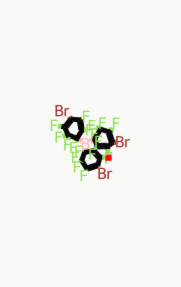 FC1=C(F)C(F)(B(C2(F)C(F)=C(F)C(Br)=C(F)C2(F)F)C2(F)C(F)=C(F)C(Br)=C(F)C2(F)F)C(F)(F)C(F)=C1Br